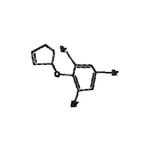 Brc1cc(Br)c(OC2C=CCC2)c(Br)c1